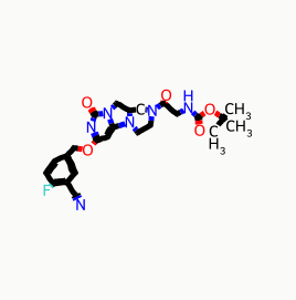 CC(C)(C)OC(=O)NCC(=O)N1CCN2c3cc(OCc4ccc(F)c(C#N)c4)nc(=O)n3CC2C1